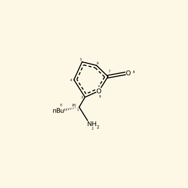 CCCC[C@@H](N)c1cccc(=O)o1